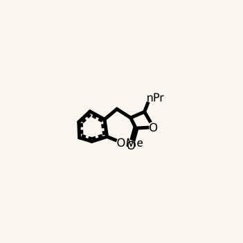 CCCC1OC(=O)C1Cc1ccccc1OC